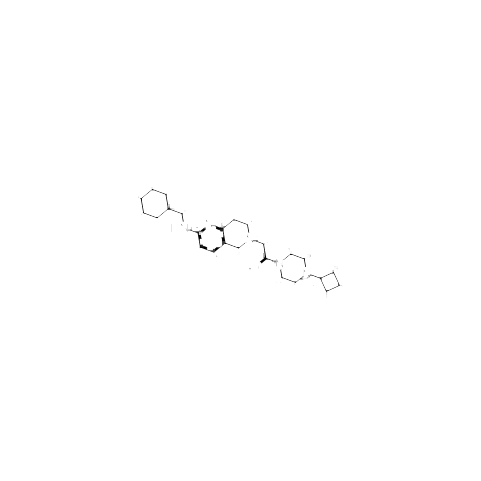 O=C(CN1CCc2nc(NCC3CCCCC3)ccc2C1)N1CCN(C2CCC2)CC1